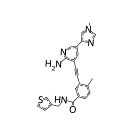 Cc1ccc(C(=O)NCc2ccsc2)cc1C#Cc1cc(-c2cn(C)cn2)cnc1N